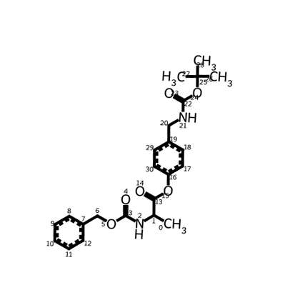 CC(NC(=O)OCc1ccccc1)C(=O)Oc1ccc(CNC(=O)OC(C)(C)C)cc1